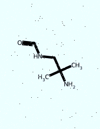 CC(C)(N)CN[C]=O